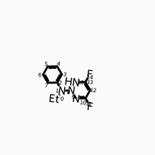 CCN(c1ccccc1)N1N=C(F)C=C(F)N1